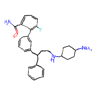 NC(=O)c1cccc(F)c1-c1cccc(C(CNC2CCC(N)CC2)c2ccccc2)c1